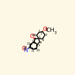 COC1CCC2(CC1)Cc1ccc(N=O)cc1C2=O